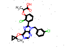 C[C@H](Oc1cccc(-c2nc3c(OC4(C)CC4)ncnc3n2Cc2cccc(Cl)c2)c1Cl)C(=O)O